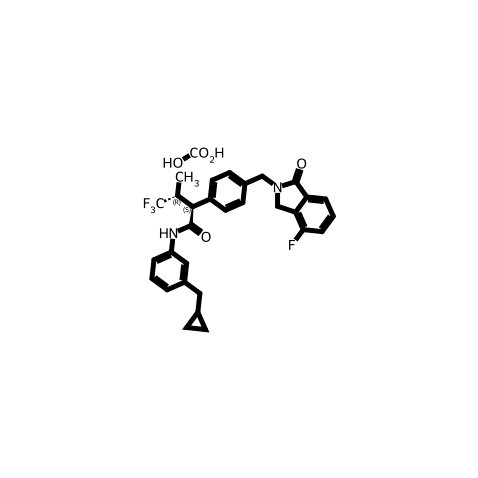 C[C@H]([C@H](C(=O)Nc1cccc(CC2CC2)c1)c1ccc(CN2Cc3c(F)cccc3C2=O)cc1)C(F)(F)F.O=C(O)O